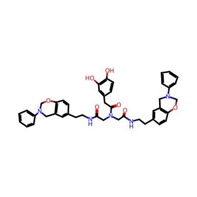 O=C(CN(CC(=O)NCCc1ccc2c(c1)CN(c1ccccc1)CO2)C(=O)Cc1ccc(O)c(O)c1)NCCc1ccc2c(c1)CN(c1ccccc1)CO2